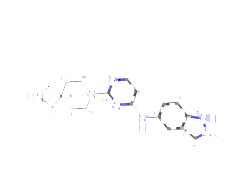 c1cc(Nc2ccc3[nH]ncc3c2)nc(N2CCC3(CC2)CNC3)n1